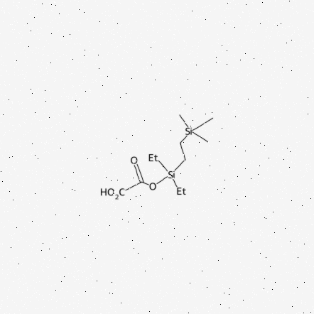 CC[Si](CC)(CC[Si](C)(C)C)OC(=O)C(=O)O